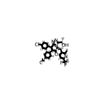 [C-]#[N+]c1ccc(-c2c(-c3ccc(Cl)cc3)c3nnc([C@H](C)O)n3n(Cc3ccc(C(F)(F)F)nc3C)c2=O)cc1